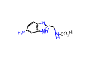 Nc1ccc2nc(CNC(=O)O)[nH]c2c1